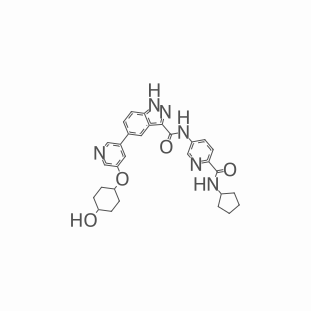 O=C(NC1CCCC1)c1ccc(NC(=O)c2n[nH]c3ccc(-c4cncc(OC5CCC(O)CC5)c4)cc23)cn1